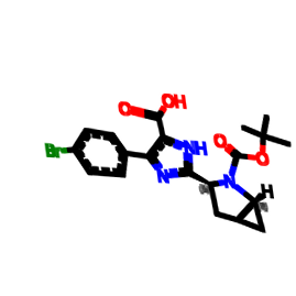 CC(C)(C)OC(=O)N1[C@@H]2CC2C[C@H]1c1nc(-c2ccc(Br)cc2)c(C(=O)O)[nH]1